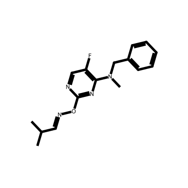 CC(C)C=NOc1ncc(F)c(N(C)Cc2ccccc2)n1